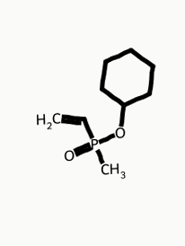 C=CP(C)(=O)OC1CCCCC1